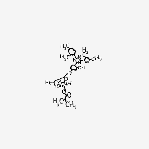 C=C(C)C(=O)OCCNC(=O)OC(COCC(CC)CCCC)COc1ccc(-c2nc(-c3ccc(C)cc3C)nc(-c3ccc(C)cc3C)n2)c(O)c1